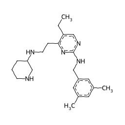 CCc1cnc(NCc2cc(C)cc(C)c2)nc1CCNC1CCCNC1